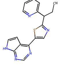 N#CCC(c1ccccn1)c1ncc(-c2ncnc3[nH]ccc23)s1